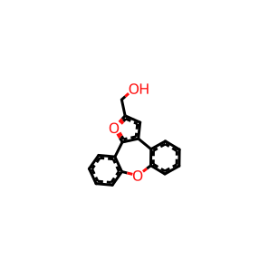 OCc1cc2c(o1)-c1ccccc1Oc1ccccc1-2